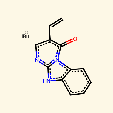 C=Cc1c([C@H](C)CC)nc2[nH]c3ccccc3n2c1=O